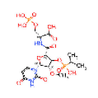 CO[C@H]1C(OP(=O)(O)C(C)C)[C@@H](C(=O)N[C@H](COP(=O)(O)O)C(=O)O)O[C@H]1n1ccc(=O)[nH]c1=O